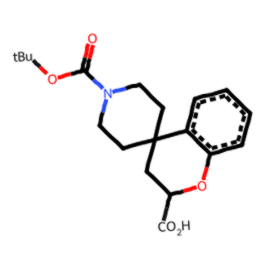 CC(C)(C)OC(=O)N1CCC2(CC1)CC(C(=O)O)Oc1ccccc12